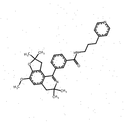 COc1cc2c(c3c1OC(C)(C)C3)C(c1cccc(C(=O)NCCCc3ccncc3)c1)=NC(C)(C)C2